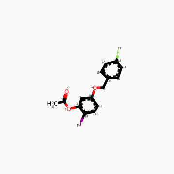 CC(=O)Oc1cc(OCc2ccc(F)cc2)ccc1I